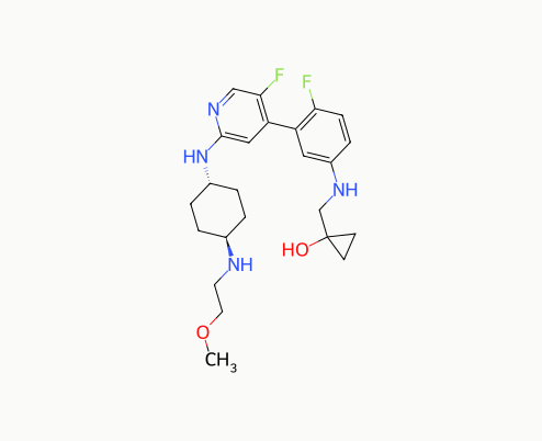 COCCN[C@H]1CC[C@H](Nc2cc(-c3cc(NCC4(O)CC4)ccc3F)c(F)cn2)CC1